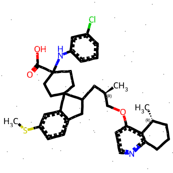 CSc1ccc2c(c1)C1(CCC(Nc3cccc(Cl)c3)(C(=O)O)CC1)C(C[C@@H](C)COc1ccnc3c1[C@H](C)CCC3)C2